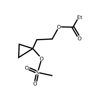 CCC(=O)OCCC1(OS(C)(=O)=O)CC1